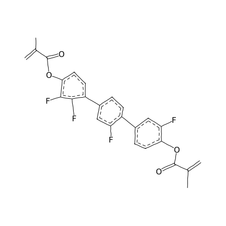 C=C(C)C(=O)Oc1ccc(-c2ccc(-c3ccc(OC(=O)C(=C)C)c(F)c3F)cc2F)cc1F